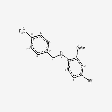 COc1cc(Br)cnc1NCc1ccc(C(F)(F)F)nc1